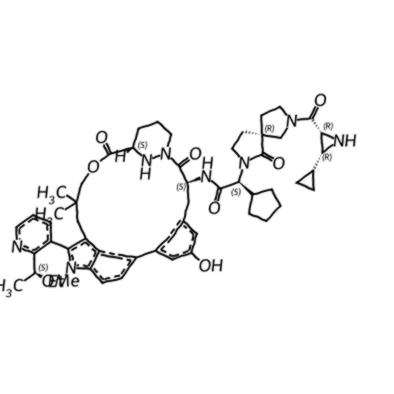 CCn1c(-c2cccnc2[C@H](C)OC)c2c3cc(ccc31)-c1cc(O)cc(c1)C[C@H](NC(=O)[C@H](C1CCCC1)N1CC[C@@]3(CCN(C(=O)[C@@H]4N[C@@H]4C4CC4)C3)C1=O)C(=O)N1CCC[C@H](N1)C(=O)OCC(C)(C)C2